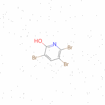 Oc1nc(Br)c(Br)cc1Br